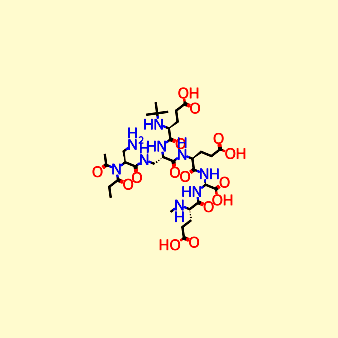 CCC(=O)N(C(C)=O)[C@@H](CN)C(=O)NC[C@H](NC(=O)[C@H](CCC(=O)O)NC(C)(C)C)C(=O)N[C@@H](CCC(=O)O)C(=O)N[C@H](NC(=O)[C@H](CCC(=O)O)NC)C(=O)O